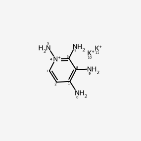 Nc1cc[n+](N)c(N)c1N.[K+].[K+]